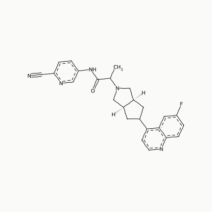 CC(C(=O)Nc1ccc(C#N)nc1)N1C[C@H]2CC(c3ccnc4ccc(F)cc34)C[C@H]2C1